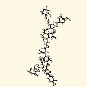 COc1ccc(-c2nc3n(n2)/C(=N/c2cc4c(cc2C)N(CCOCCN2c5cc(C)c(/N=C6\C(C#N)=C(C(=O)OC7C(C)CC(C)CC7C)c7nc(-c8ccc(OC)c(C)c8)nn76)cc5C(C)CC2(C)C)C(C)(C)CC4C)C(C#N)=C3COOC2C(C)CC(C)CC2C)cc1C